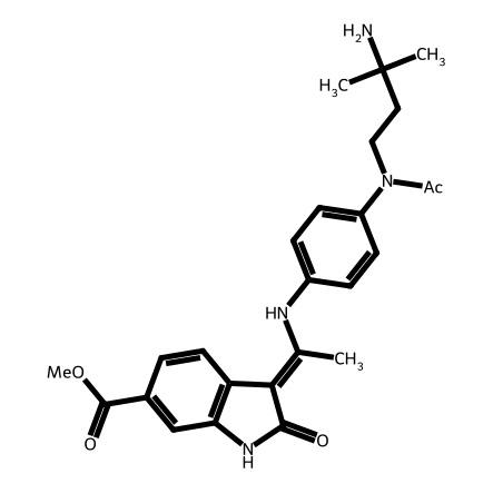 COC(=O)c1ccc2c(c1)NC(=O)C2=C(C)Nc1ccc(N(CCC(C)(C)N)C(C)=O)cc1